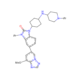 COc1cc(-c2ccc3c(c2)n(C(C)C)c(=O)n3C2CCC(NC3CCN(C(C)C)CC3)CC2)cn2ncnc12